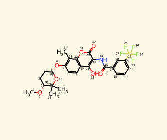 CO[C@@H]1CC[C@H](Oc2ccc3c(O)c(NC(=O)c4cccc(S(F)(F)(F)(F)F)c4)c(=O)oc3c2C)OC1(C)C